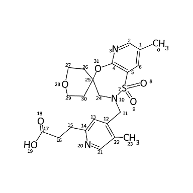 Cc1cnc2c(c1)S(=O)(=O)N(Cc1cc(CCC(=O)O)ncc1C)CC1(CCOCC1)O2